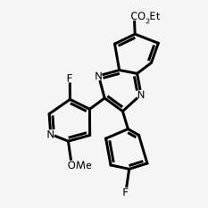 CCOC(=O)c1ccc2nc(-c3ccc(F)cc3)c(-c3cc(OC)ncc3F)nc2c1